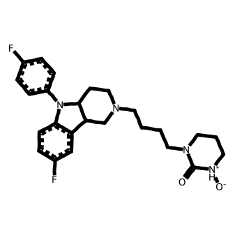 O=C1N(CCCCN2CCC3C(C2)c2cc(F)ccc2N3c2ccc(F)cc2)CCC[NH+]1[O-]